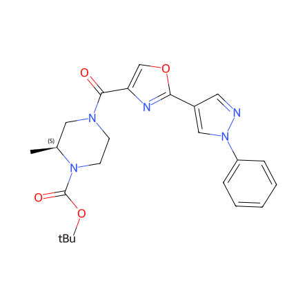 C[C@H]1CN(C(=O)c2coc(-c3cnn(-c4ccccc4)c3)n2)CCN1C(=O)OC(C)(C)C